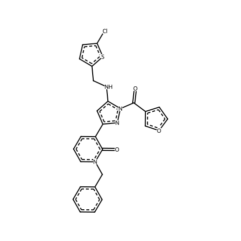 O=C(c1ccoc1)n1nc(-c2cccn(Cc3ccccc3)c2=O)cc1NCc1ccc(Cl)s1